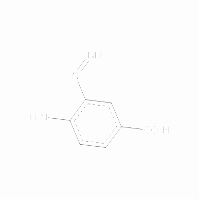 N=Nc1cc(C(=O)O)ccc1N